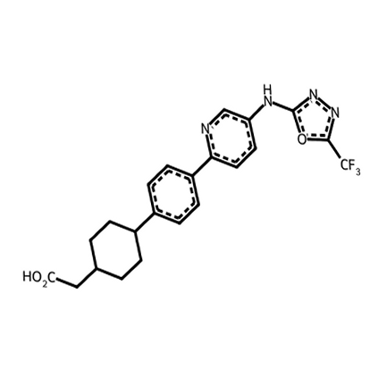 O=C(O)CC1CCC(c2ccc(-c3ccc(Nc4nnc(C(F)(F)F)o4)cn3)cc2)CC1